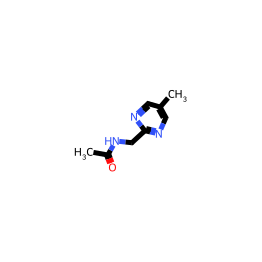 CC(=O)NCc1ncc(C)cn1